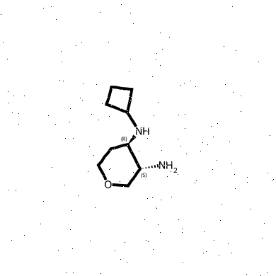 N[C@@H]1COCC[C@H]1NC1CCC1